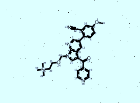 COc1ccc(-c2cnc3c(c2)c(C(=O)c2ccncc2)cn3COCC[Si](C)(C)C)c(C#N)c1